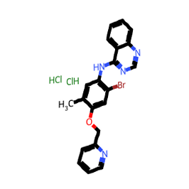 Cc1cc(Nc2ncnc3ccccc23)c(Br)cc1OCc1ccccn1.Cl.Cl